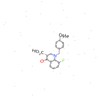 COc1ccc(Cn2cc(C(=O)O)c(=O)c3cccc(F)c32)cc1